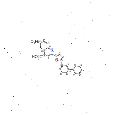 O=C(O)c1cc(-c2ccc(-c3cccc(-c4ccccc4)c3)o2)nc2ccc([N+](=O)[O-])cc12